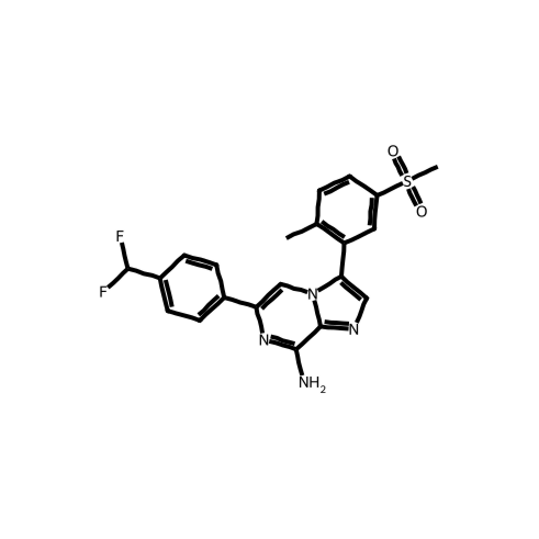 Cc1ccc(S(C)(=O)=O)cc1-c1cnc2c(N)nc(-c3ccc(C(F)F)cc3)cn12